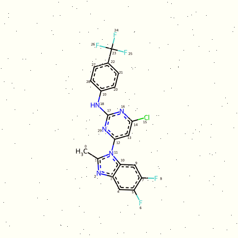 Cc1nc2cc(F)c(F)cc2n1-c1cc(Cl)nc(Nc2ccc(C(F)(F)F)cc2)n1